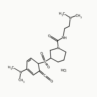 CN(C)CCNC(=O)N1CCCC(S(=O)(=O)C2C=CC(N(C)C)=CC2=C=O)C1.Cl